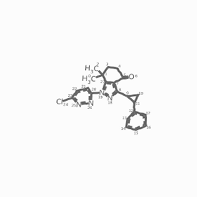 CC1(C)CCC(=O)c2c(C3CC3c3ccccc3)nn(-c3ccc(Cl)nn3)c21